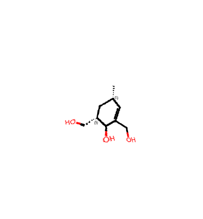 C[C@@H]1C=C(CO)C(O)[C@H](CO)C1